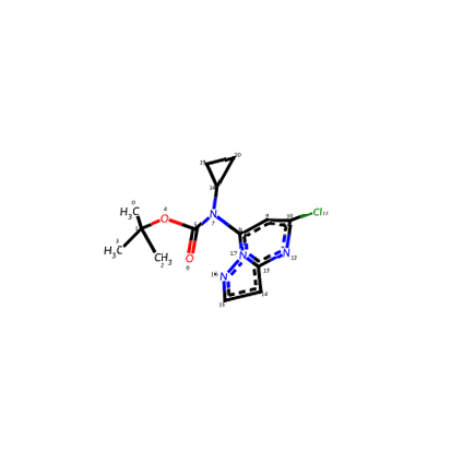 CC(C)(C)OC(=O)N(c1cc(Cl)nc2ccnn12)C1CC1